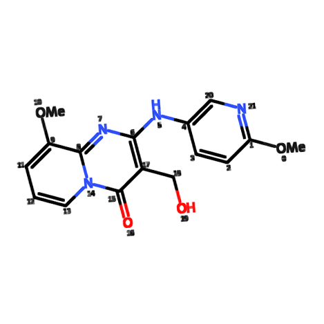 COc1ccc(Nc2nc3c(OC)cccn3c(=O)c2CO)cn1